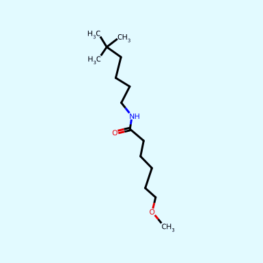 COCCCCCC(=O)NCCCCC(C)(C)C